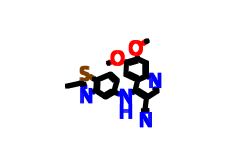 COc1cc2ncc(C#N)c(Nc3ccc4sc(C)nc4c3)c2cc1OC